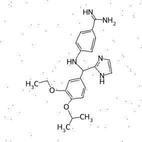 CCOc1cc(C(Nc2ccc(C(=N)N)cc2)c2ncc[nH]2)ccc1OC(C)C